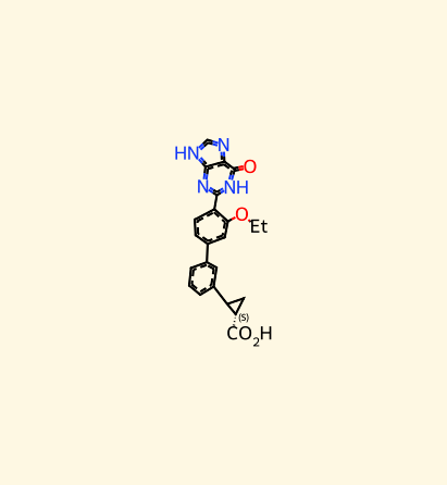 CCOc1cc(-c2cccc(C3C[C@@H]3C(=O)O)c2)ccc1-c1nc2[nH]cnc2c(=O)[nH]1